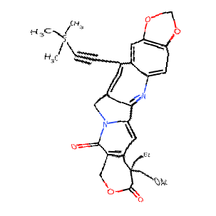 CC[C@@]1(OC(C)=O)C(=O)OCc2c1cc1n(c2=O)Cc2c-1nc1cc3c(cc1c2C#C[Si](C)(C)C)OCO3